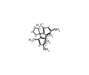 Cc1cc(N)cc(C)c1C1(c2c(C)cc(N)cc2C)CCCC1